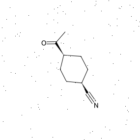 CC(=O)[C@H]1CC[C@@H](C#N)CC1